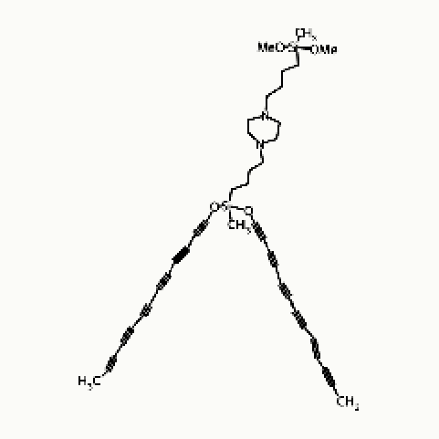 CC#CC#CC#CC#CC#CC#CO[Si](C)(CCCCN1CCN(CCCC[Si](C)(OC)OC)CC1)OC#CC#CC#CC#CC#CC#CC